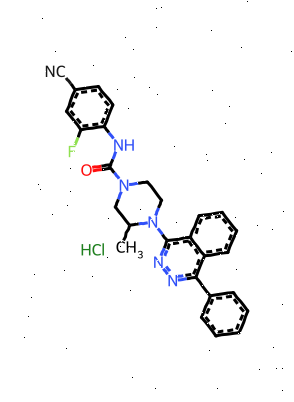 CC1CN(C(=O)Nc2ccc(C#N)cc2F)CCN1c1nnc(-c2ccccc2)c2ccccc12.Cl